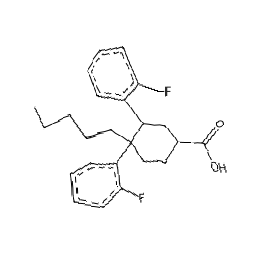 CCCCCC1(c2ccccc2F)CCC(C(=O)O)CC1c1ccccc1F